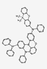 CC1(C)c2ccccc2Oc2cc(N(c3ccccc3)c3ccc4c(c3)Oc3cccc5c3B4c3ccc(N(c4ccccc4)c4ccccc4)cc3N5c3ccccc3)ccc21